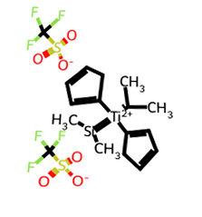 C[C](C)=[Ti+2]([C]1=CC=CC1)([C]1=CC=CC1)=[Si](C)C.O=S(=O)([O-])C(F)(F)F.O=S(=O)([O-])C(F)(F)F